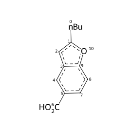 CCCCc1cc2cc(C(=O)O)ccc2o1